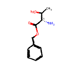 CC(O)[C@H](N)C(=O)OCc1ccccc1